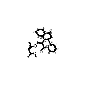 COC(C)/C=C(/C)OCC1c2c(cc(C)c3ccccc23)-c2cccc[n+]2C1C